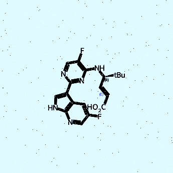 CC(C)(C)[C@@H](/C=C/C(=O)O)Nc1nc(-c2c[nH]c3ncc(F)cc23)ncc1F